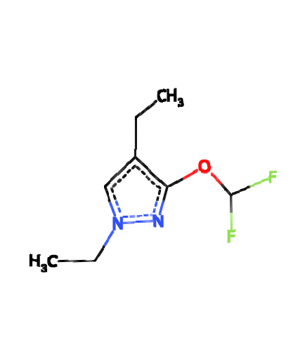 CCc1cn(CC)nc1OC(F)F